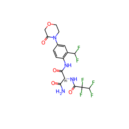 NC(=O)[C@@H](NC(=O)C(F)(F)C(F)F)C(=O)Nc1ccc(N2CCOCC2=O)cc1C(F)F